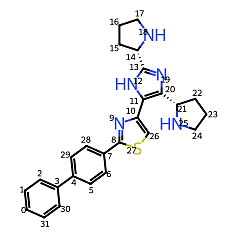 c1ccc(-c2ccc(-c3nc(-c4[nH]c([C@@H]5CCCN5)nc4[C@@H]4CCCN4)cs3)cc2)cc1